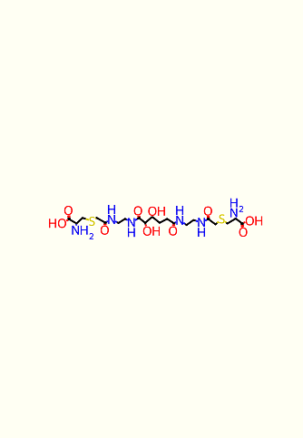 NC(CSCC(=O)NCCNC(=O)CCC(O)C(O)C(=O)NCCNC(=O)CSCC(N)C(=O)O)C(=O)O